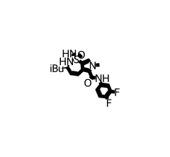 CC[C@H](C)[C@@H]1C=Cc2c(cn(C)c2C(=O)Nc2ccc(F)c(F)c2)S(=N)(=O)N1